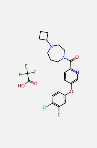 O=C(O)C(F)(F)F.O=C(c1ccc(Oc2ccc(Cl)c(Cl)c2)cn1)N1CCCN(C2CCC2)CC1